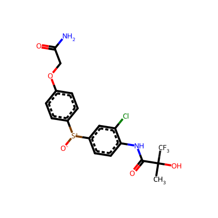 CC(O)(C(=O)Nc1ccc([S+]([O-])c2ccc(OCC(N)=O)cc2)cc1Cl)C(F)(F)F